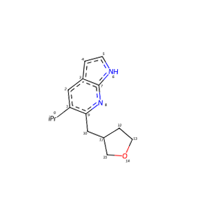 CC(C)c1cc2cc[nH]c2nc1CC1CCOC1